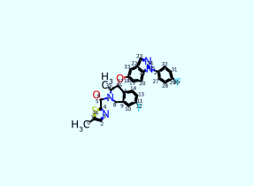 Cc1cnc(C(=O)N2Cc3cc(F)ccc3[C@@H](Oc3ccc4c(cnn4-c4ccc(F)cc4)c3)[C@@H]2C)s1